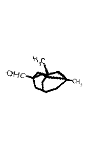 CC12CC3CC(C)(C1)CC([C]=O)(C3)C2